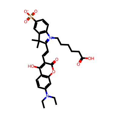 CCN(CC)c1ccc2c(O)c(/C=C/C3=[N+](CCCCCC(=O)O)c4ccc(S(=O)(=O)[O-])cc4C3(C)C)c(=O)oc2c1